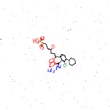 NC(=O)c1c(C(=O)CCC(=O)CCS(=O)(=O)O)ccc(C2CCCCC2)c1Cl